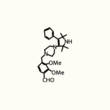 COc1c(C=O)ccc(CN2CCN(C3=C(c4ccccc4)C(C)(C)NC3(C)C)CC2)c1OC